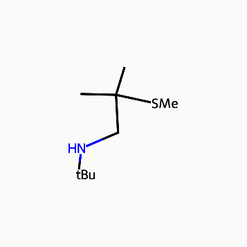 CSC(C)(C)CNC(C)(C)C